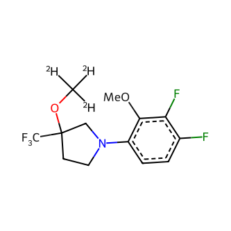 [2H]C([2H])([2H])OC1(C(F)(F)F)CCN(c2ccc(F)c(F)c2OC)C1